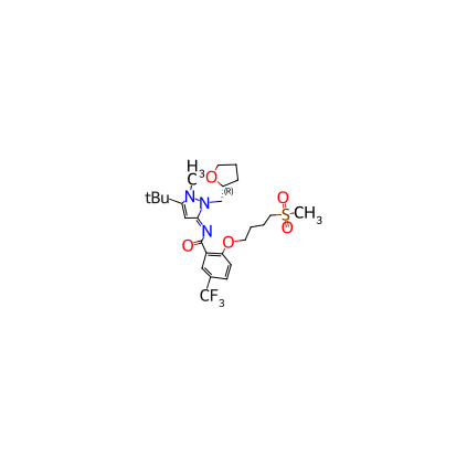 Cn1c(C(C)(C)C)cc(=NC(=O)c2cc(C(F)(F)F)ccc2OCCCCS(C)(=O)=O)n1C[C@H]1CCCO1